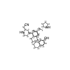 N#CC[C@H]1CN(c2nc(OC[C@@H]3CCCN3)nc3c2CCC2(CCCc4ccc(O)cc42)C3)CCN1